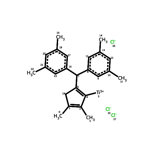 CC1=C(C)[C]([Ti+3])=C(C(c2cc(C)cc(C)c2)c2cc(C)cc(C)c2)C1.[Cl-].[Cl-].[Cl-]